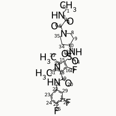 CCNC(=O)C(=O)N1CCC(NS(=O)(=O)c2c(F)c(C(=O)Nc3ccc(F)c(F)c3)n(C)c2C)CC1